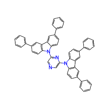 c1ccc(-c2ccc3c(c2)c2cc(-c4ccccc4)ccc2n3-c2cncc(-n3c4ccc(-c5ccccc5)cc4c4cc(-c5ccccc5)ccc43)n2)cc1